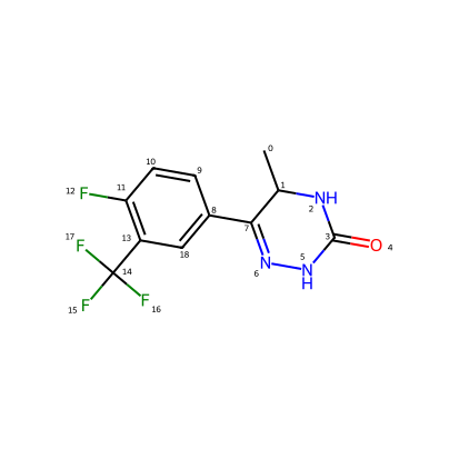 CC1NC(=O)NN=C1c1ccc(F)c(C(F)(F)F)c1